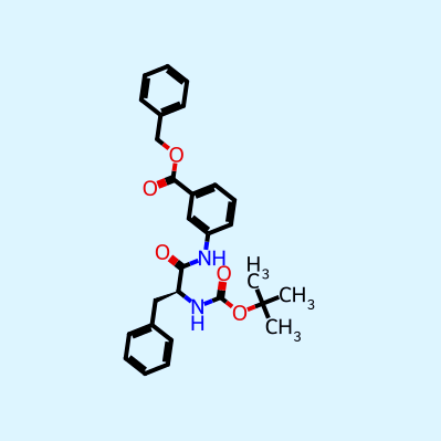 CC(C)(C)OC(=O)N[C@@H](Cc1ccccc1)C(=O)Nc1cccc(C(=O)OCc2ccccc2)c1